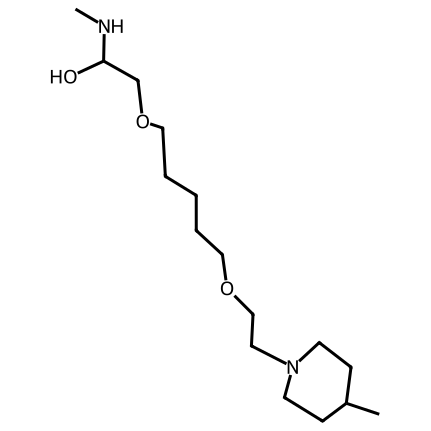 CNC(O)COCCCCCOCCN1CCC(C)CC1